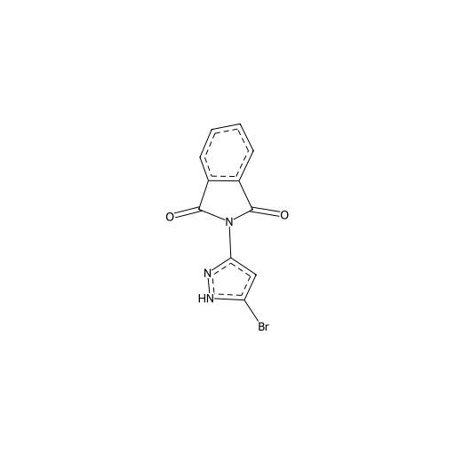 O=C1c2ccccc2C(=O)N1c1cc(Br)[nH]n1